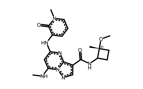 CNc1cc(Nc2cccn(C)c2=O)nc2c(C(=O)NC3CC[C@@]3(C)OC)cnn12